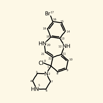 ClC1(N2CCNCC2)C=CC=C2Nc3ccc(Br)cc3NC=C21